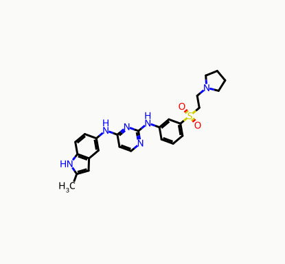 Cc1cc2cc(Nc3ccnc(Nc4cccc(S(=O)(=O)CCN5CCCC5)c4)n3)ccc2[nH]1